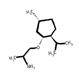 CC(N)CO[C@@H]1C[C@H](C)CC[C@H]1C(C)C